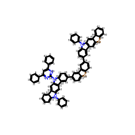 c1ccc(-c2cc(-c3ccccc3)nc(-n3c4ccc(-c5ccc6sc7ccc(-c8ccc9c(c8)c8cc%10sc%11ccccc%11c%10cc8n9-c8ccccc8)cc7c6c5)cc4c4cc5c(cc43)c3ccccc3n5-c3ccccc3)n2)cc1